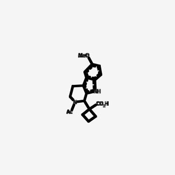 COc1ccc2[nH]c3c(c2c1)CCN(C(C)=O)C3C1(C(=O)O)CCC1